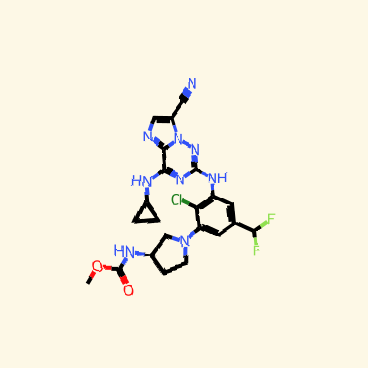 COC(=O)N[C@@H]1CCN(c2cc(C(F)F)cc(Nc3nc(NC4CC4)c4ncc(C#N)n4n3)c2Cl)C1